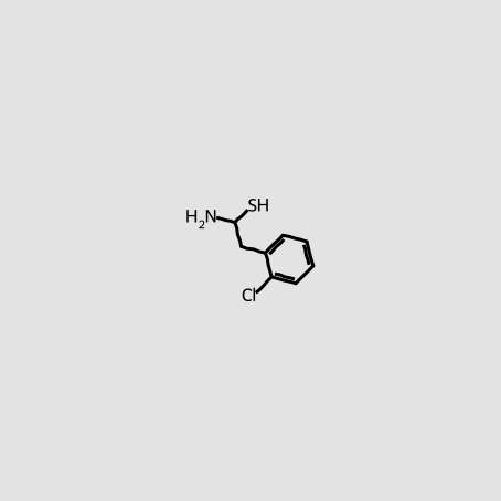 NC(S)Cc1ccccc1Cl